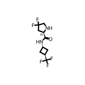 O=C(N[C@H]1C[C@H](C(F)(F)F)C1)[C@H]1CC(F)(F)CN1